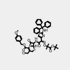 COc1ccc(COC(=O)C2=C(CCl)CS[C@@H]3C(NC(=O)/C(=N\OC(C)(C)C(=O)OC(C)(C)C)c4csc(NC(c5ccccc5)(c5ccccc5)c5ccccc5)n4)C(=O)N23)cc1